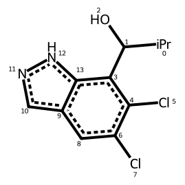 CC(C)C(O)c1c(Cl)c(Cl)cc2cn[nH]c12